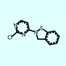 Clc1nccc(N2Cc3ccccc3S2)n1